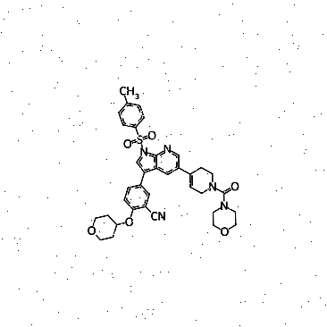 Cc1ccc(S(=O)(=O)n2cc(-c3ccc(OC4CCOCC4)c(C#N)c3)c3cc(C4=CCN(C(=O)N5CCOCC5)CC4)cnc32)cc1